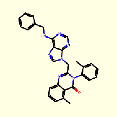 Cc1ccccc1-n1c(Cn2cnc3c(NCc4ccccc4)ncnc32)nc2cccc(C)c2c1=O